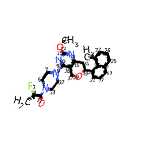 C=C(F)C(=O)N1CCN(c2nc(OC)nc3c2COC(c2cccc4cccc(C)c24)C3)CC1